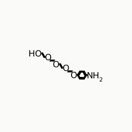 Nc1ccc(OCCOCCOCCOCCO)cc1